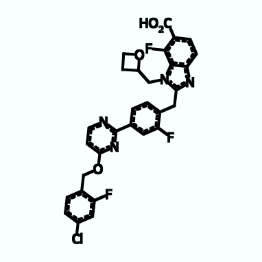 O=C(O)c1ccc2nc(Cc3ccc(-c4nccc(OCc5ccc(Cl)cc5F)n4)cc3F)n(CC3CCO3)c2c1F